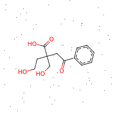 O=C(CC(CO)(CCO)C(=O)O)c1ccccc1